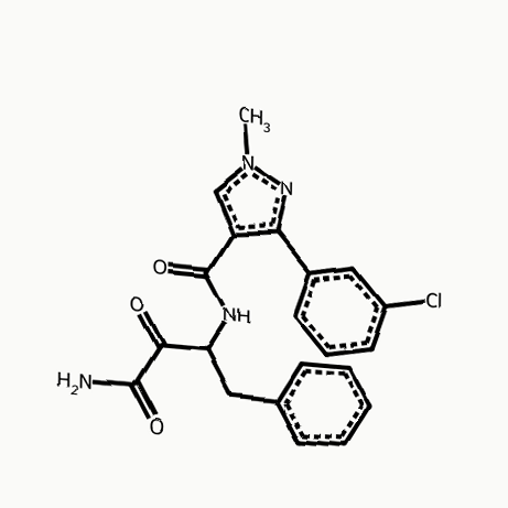 Cn1cc(C(=O)NC(Cc2ccccc2)C(=O)C(N)=O)c(-c2cccc(Cl)c2)n1